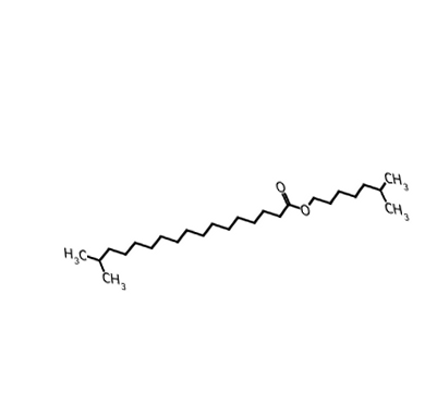 CC(C)CCCCCCCCCCCCCCC(=O)OCCCCCC(C)C